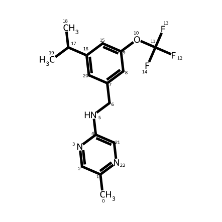 Cc1cnc(NCc2cc(OC(F)(F)F)cc(C(C)C)c2)cn1